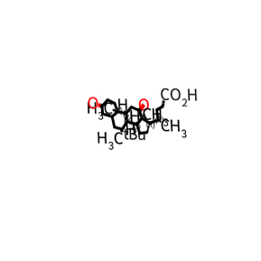 C[C@H](CCC(=O)O)[C@H]1CC[C@H]2[C@H]3[C@H](CC(=O)[C@]12C)[C@@]1(C)CCC(=O)CC1CC3(C)C(C)(C)C